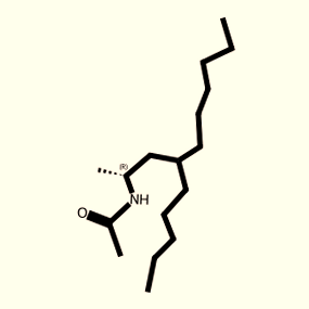 CCCCCCC(CCCCC)C[C@@H](C)NC(C)=O